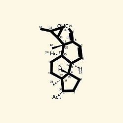 CC(=O)[C@H]1CC[C@H]2[C@@H]3C=C/C(=C/C=O)[C@@](C)(C4CC4C)[C@@H]3CC[C@]12C